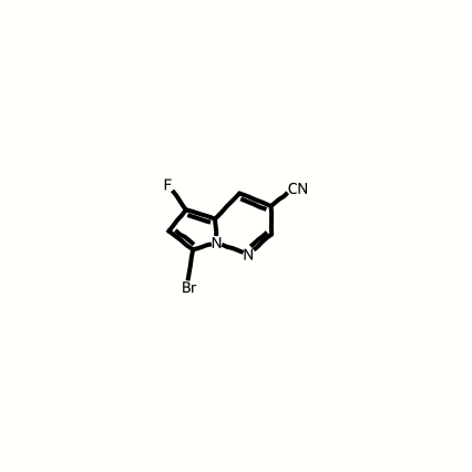 N#Cc1cnn2c(Br)cc(F)c2c1